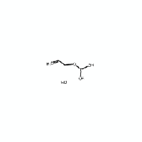 C=CCOP(O)O.Cl